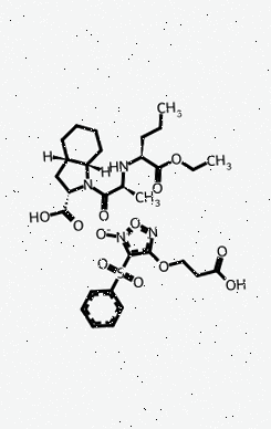 CCC[C@H](N[C@@H](C)C(=O)N1[C@H](C(=O)O)C[C@@H]2CCCC[C@@H]21)C(=O)OCC.O=C(O)CCOc1no[n+]([O-])c1S(=O)(=O)c1ccccc1